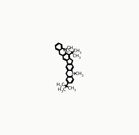 CN1c2ccc(C(C)(C)C)cc2Cc2cc3c(cc21)Cc1c-3cc2c(c1C(C)(C)C)N(C)c1ccccc1C2